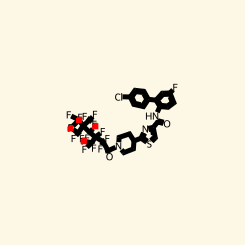 O=C(Nc1ccc(F)cc1-c1ccc(Cl)cc1)c1csc(C2CCN(C(=O)C(F)(F)C(F)(C(F)(F)F)C(F)(F)C(C(F)(F)F)(C(F)(F)F)C(F)(F)F)CC2)n1